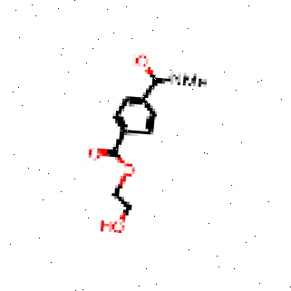 CNC(O)c1ccc(C(=O)OCCO)cc1